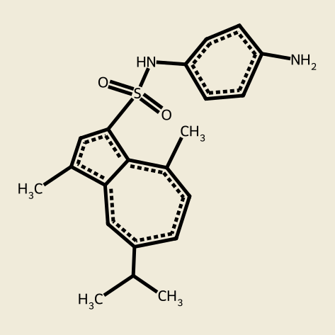 Cc1cc(S(=O)(=O)Nc2ccc(N)cc2)c2c(C)ccc(C(C)C)cc1-2